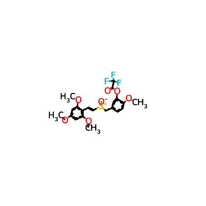 COc1cc(OC)c(/C=C/[S+]([O-])Cc2ccc(OC)c(OC(=O)C(F)(F)F)c2)c(OC)c1